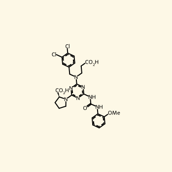 COc1ccccc1NC(=O)Nc1nc(N(CCC(=O)O)Cc2ccc(Cl)c(Cl)c2)nc(N2CCC[C@H]2C(=O)O)n1